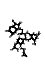 O=C(CN1C(=O)C(=O)c2cc(F)c(F)cc21)O[C@@H](Cc1c(Cl)c[n+]([O-])cc1Cl)c1ccc(OC(F)F)c(OCC2CC2)c1